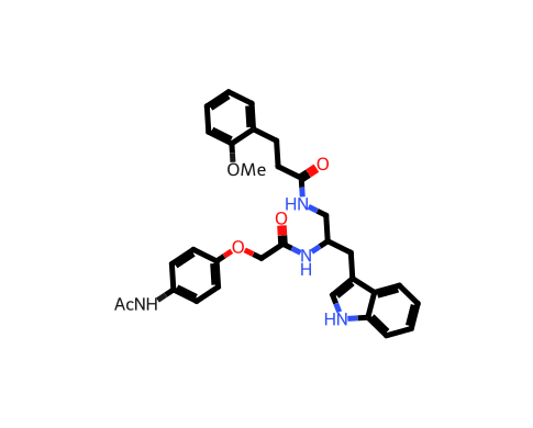 COc1ccccc1CCC(=O)NCC(Cc1c[nH]c2ccccc12)NC(=O)COc1ccc(NC(C)=O)cc1